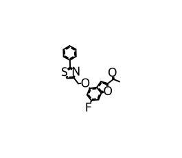 CC(=O)c1cc2c(OCc3csc(-c4ccccc4)n3)cc(F)cc2o1